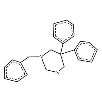 c1ccc(CN2CSCC(c3ccccc3)(c3ccccc3)C2)cc1